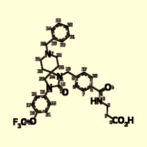 O=C(O)CCNC(=O)c1ccc(CN2C(=O)N(c3ccc(OC(F)(F)F)cc3)CC23CCN(Cc2ccccc2)CC3)cc1